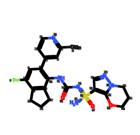 COc1cc(-c2cc(F)c3c(c2NC(=O)N=[S@@](N)(=O)c2cnn4c2OCCC4)CCC3)ccn1